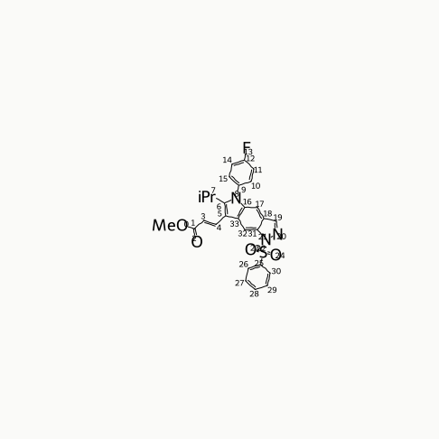 COC(=O)/C=C/c1c(C(C)C)n(-c2ccc(F)cc2)c2cc3cnn(S(=O)(=O)c4ccccc4)c3cc12